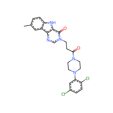 Cc1ccc2[nH]c3c(=O)n(CCC(=O)N4CCN(c5cc(Cl)ccc5Cl)CC4)cnc3c2c1